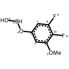 COc1cc(OBO)cc(F)c1F